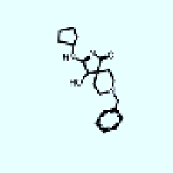 O=C1N=C(NC2CCCC2)C(O)C12CCN(Cc1ccccc1)CC2